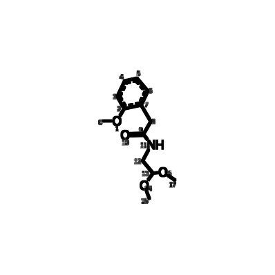 COc1ccccc1CC(=O)NCC(OC)OC